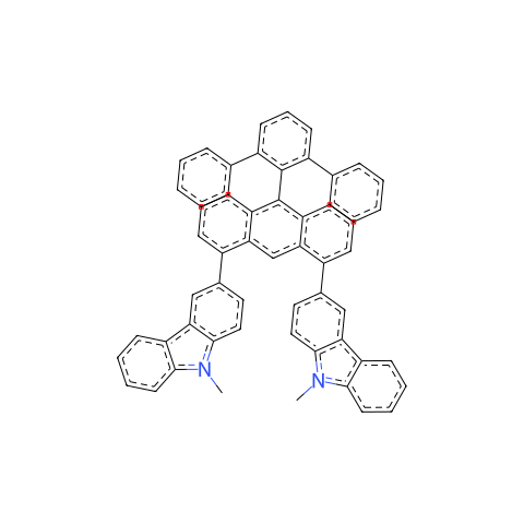 Cn1c2ccccc2c2cc(-c3cccc4c(-c5c(-c6ccccc6)cccc5-c5ccccc5)c5cccc(-c6ccc7c(c6)c6ccccc6n7C)c5cc34)ccc21